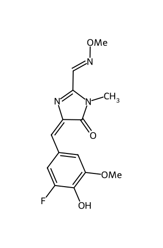 CON=CC1=NC(=Cc2cc(F)c(O)c(OC)c2)C(=O)N1C